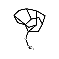 O=[N+]([O-])OC12CC3CC4C5CC(CC41)CC2C5C3